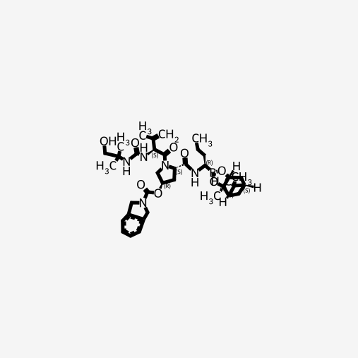 C=C(C)[C@H](NC(=O)NC(C)(C)CO)C(=O)N1C[C@H](OC(=O)N2Cc3ccccc3C2)C[C@H]1C(=O)N[C@@H](CCC)B1O[C@@H]2C[C@@H]3C[C@@H](C3(C)C)[C@]2(C)O1